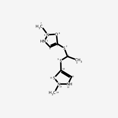 C[C](SC1=CNN(C)O1)SC1=CNN(C)S1